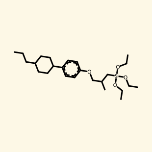 CCCC1CCC(c2ccc(OCC(C)C[Si](OCC)(OCC)OCC)cc2)CC1